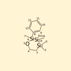 C[Si]1(C)CCO[Si](C)(c2ccccc2)[Si]1(C)C